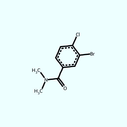 CN(C)C(=O)c1ccc(Cl)c(Br)c1